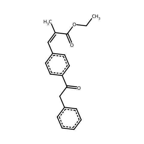 CCOC(=O)C(C)=Cc1ccc(C(=O)Cc2ccccc2)cc1